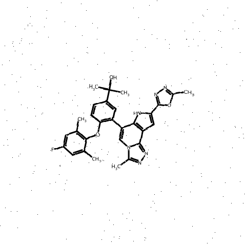 Cc1nnc(-c2cc3c([nH]2)c(-c2cc(C(C)(C)O)ccc2Oc2c(C)cc(F)cc2C)cn2c(C)nnc32)o1